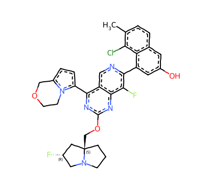 Cc1ccc2cc(O)cc(-c3ncc4c(-c5ccc6n5CCOC6)nc(OC[C@@]56CCCN5C[C@H](F)C6)nc4c3F)c2c1Cl